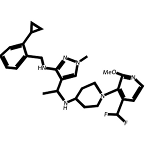 COc1nccc(C(F)F)c1N1CCC(NC(C)c2cn(C)nc2NCc2ccccc2C2CC2)CC1